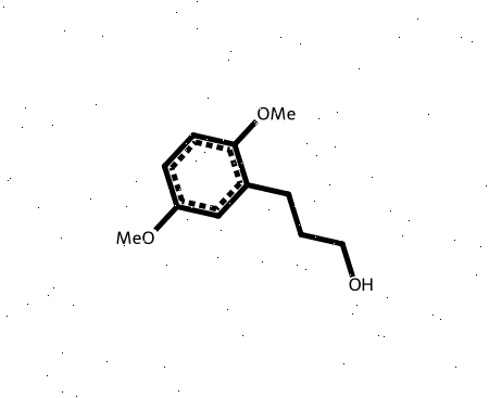 COc1ccc(OC)c(CCCO)c1